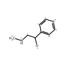 CNCC([O])c1ccncc1